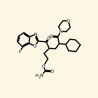 NC(=O)OCCC(CC(C(=O)N1CCOCC1)C1CCCCC1)C(=O)c1nc2cccc(F)c2o1